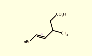 CCCC/C=C/C(C)CC(=O)O